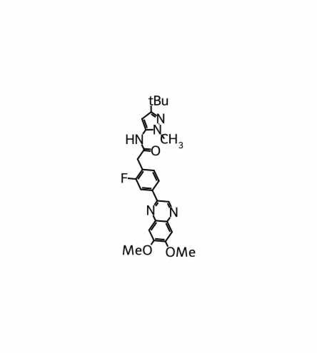 COc1cc2ncc(-c3ccc(CC(=O)Nc4cc(C(C)(C)C)nn4C)c(F)c3)nc2cc1OC